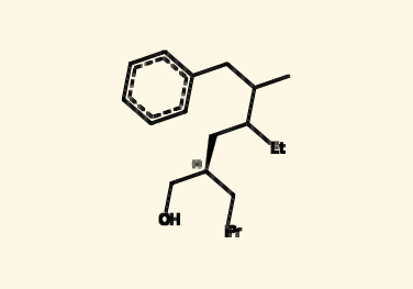 CCC(C[C@H](CO)CC(C)C)C(C)Cc1ccccc1